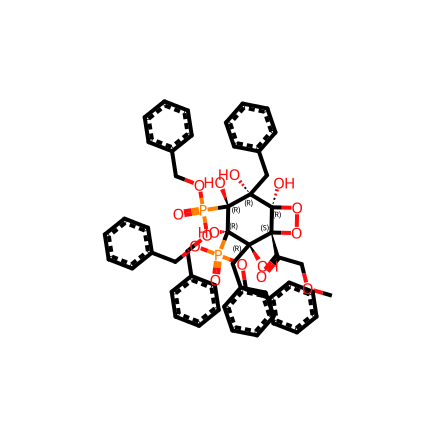 COCC(=O)[C@]12OO[C@]1(O)[C@](O)(Cc1ccccc1)[C@@](O)(P(=O)(OCc1ccccc1)OCc1ccccc1)[C@](O)(P(=O)(OCc1ccccc1)OCc1ccccc1)[C@@]2(O)Cc1ccccc1